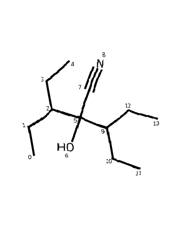 CCC(CC)C(O)(C#N)C(CC)CC